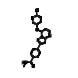 CNC(=O)c1ccc(-c2cc3nccc(Oc4ccc(Cl)nc4)c3s2)cc1